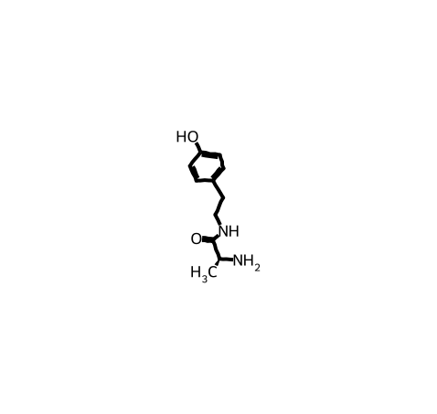 C[C@H](N)C(=O)NCCc1ccc(O)cc1